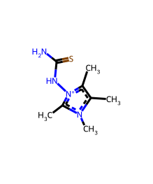 Cc1c(C)[n+](NC(N)=S)c(C)n1C